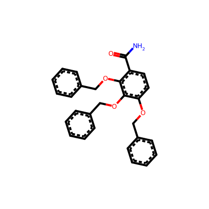 NC(=O)c1ccc(OCc2ccccc2)c(OCc2ccccc2)c1OCc1ccccc1